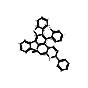 C=C/C=C1/NC(c2ccccc2)C=CC1c1c(-c2ccccc2N)c2c3ccccc3sc2c2c1sc1ccccc12